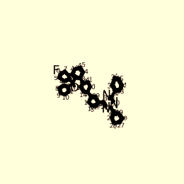 Fc1ccc(C2(c3ccccc3)Oc3cc(-c4cccc(-c5nc(-c6ccccc6)nc(-c6ccccc6)n5)c4)ccc3-c3ccccc32)cc1